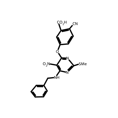 CSc1nc(NCc2ccccc2)c([N+](=O)[O-])c(Oc2ccc(C#N)c(C(=O)O)c2)n1